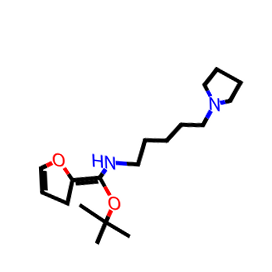 CC(C)(C)OC(NCCCCCN1CCCC1)=C1CC=CO1